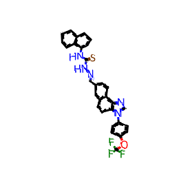 FC(F)(F)Oc1ccc(-n2cnc3c4ccc(/C=N/NC(=S)Nc5cccc6ccccc56)cc4ccc32)cc1